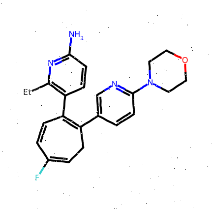 CCc1nc(N)ccc1C1=C(c2ccc(N3CCOCC3)nc2)CC=C(F)C=C1